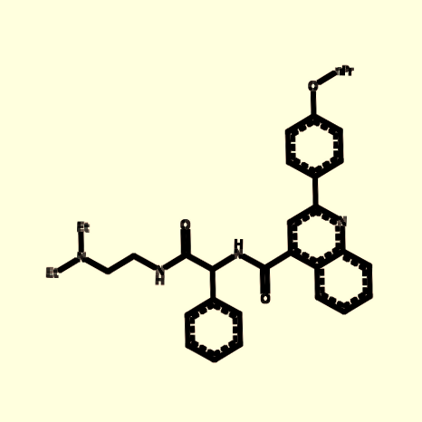 CCCOc1ccc(-c2cc(C(=O)NC(C(=O)NCCN(CC)CC)c3ccccc3)c3ccccc3n2)cc1